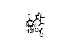 CC(=O)O.Cc1ncc(-c2nc(O)ncc2F)n1C(C)C